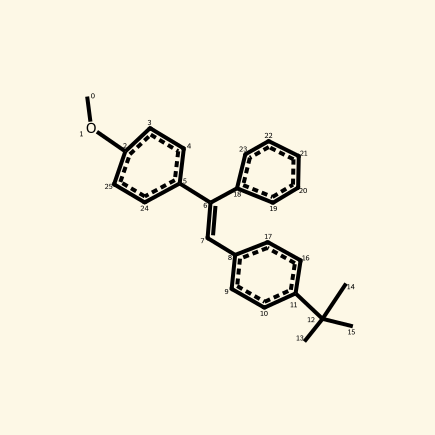 COc1ccc(/C(=C/c2ccc(C(C)(C)C)cc2)c2ccccc2)cc1